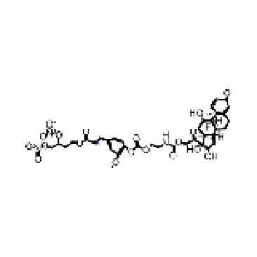 COc1cc(/C=C/C(=O)OCCC(CO[N+](=O)[O-])O[N+](=O)[O-])ccc1OC(=O)OCCNC(=O)OCC(=O)[C@@]1(O)[C@H](O)C[C@H]2[C@@H]3CCC4=CC(=O)C=C[C@]4(C)[C@@]3(F)[C@@H](O)C[C@@]21C